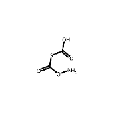 NOC(=O)SC(=O)O